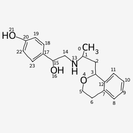 CC(CC1OCCc2ccccc21)NCC(O)c1ccc(O)cc1